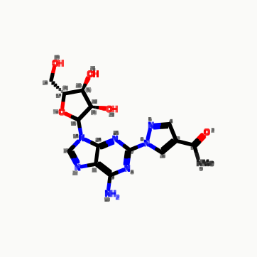 CNC(=O)c1cnn(-c2nc(N)c3ncn(C4O[C@H](CO)[C@@H](O)[C@H]4O)c3n2)c1